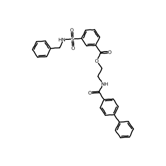 O=C(NCCOC(=O)c1cccc(S(=O)(=O)NCc2ccccc2)c1)c1ccc(-c2ccccc2)cc1